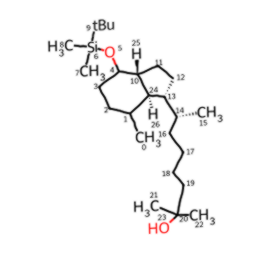 CC1CCC(O[Si](C)(C)C(C)(C)C)[C@@H]2CC[C@H]([C@H](C)CCCCC(C)(C)O)[C@@H]12